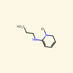 CCN1CC=CC=C1NCCC(=O)O